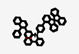 c1ccc(-c2ccccc2N(c2ccc(-c3cccc4c3-c3ccccc3C43c4ccccc4-c4ccccc43)cc2)c2cccc(-c3ccc4ccccc4c3-c3ccccc3)c2)cc1